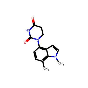 Cc1ccc(N2CCC(=O)NC2=O)c2ccn(C)c12